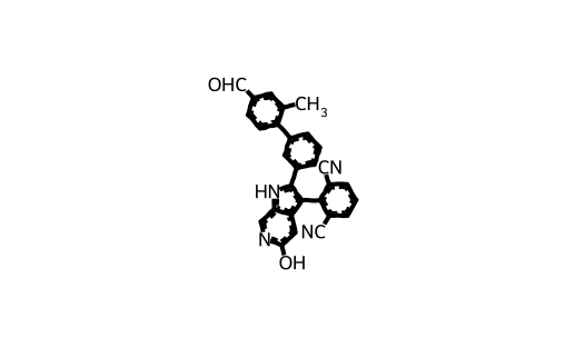 Cc1cc(C=O)ccc1-c1cccc(-c2[nH]c3cnc(O)cc3c2-c2c(C#N)cccc2C#N)c1